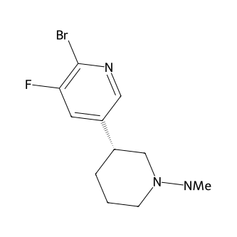 CNN1CCC[C@H](c2cnc(Br)c(F)c2)C1